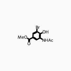 COC(=O)c1cc(Br)c(O)c(NC(C)=O)c1